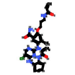 C#CC(=O)NCCCOc1cc(C)c(Nc2ncc(Cl)c(Nc3ccccc3NC(=O)C=C)n2)cc1C(N)=O